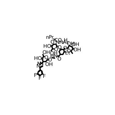 CCC[C@H](OC1C(NC(C)=O)[C@H](O[C@@H]2CC(C(=O)NCCO[C@H]3OC(CO)[C@@H](O)C(n4cc(-c5cc(F)c(F)c(F)c5)nn4)C3O)CC(CC)C2O[C@@H]2OC(C)[C@@H](O)C(O)C2O)OC(CO)[C@@H]1O)C(=O)O